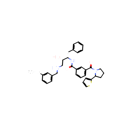 COc1cccc(CNC[C@H](O)[C@H](Cc2ccccc2)NC(=O)c2cccc(C(=O)N3CCCC3c3cccs3)c2)c1